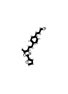 Cc1oc(-c2ccco2)nc1C=Cc1ccc(/C=C/C=O)cc1